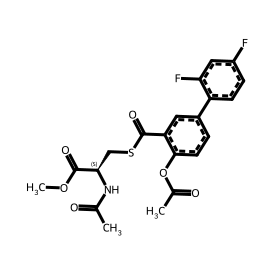 COC(=O)[C@@H](CSC(=O)c1cc(-c2ccc(F)cc2F)ccc1OC(C)=O)NC(C)=O